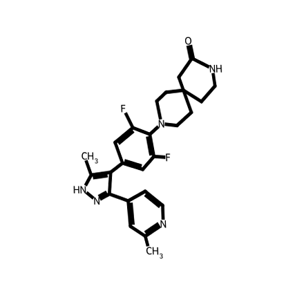 Cc1cc(-c2n[nH]c(C)c2-c2cc(F)c(N3CCC4(CCNC(=O)C4)CC3)c(F)c2)ccn1